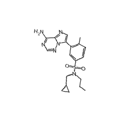 CCCN(CC1CC1)S(=O)(=O)c1ccc(C)c(-c2cnc3c(N)ncnn23)c1